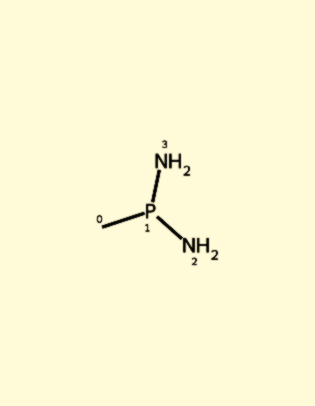 CP(N)N